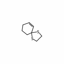 C1=CC2(CCC1)SCCS2